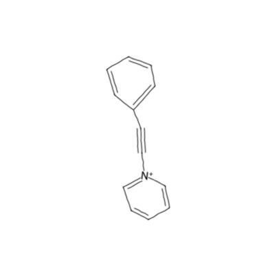 C(#C[n+]1ccccc1)c1ccccc1